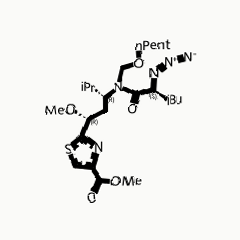 CCCCCOCN(C(=O)[C@@H](N=[N+]=[N-])C(C)CC)[C@H](C[C@@H](OC)c1nc(C(=O)OC)cs1)C(C)C